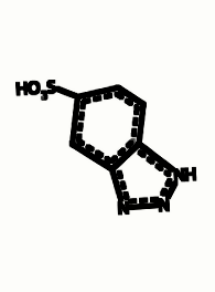 O=S(=O)(O)c1ccc2[nH]nnc2c1